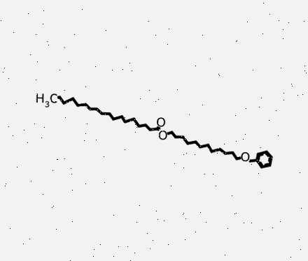 CCCCCCCCCCCCCCCCCC(=O)OCCCCCCCCCCCCOCc1ccccc1